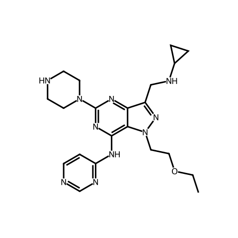 CCOCCn1nc(CNC2CC2)c2nc(N3CCNCC3)nc(Nc3ccncn3)c21